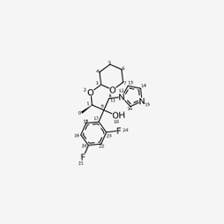 C[C@@H](OC1CCCCO1)C(O)(Cn1ccnc1)c1ccc(F)cc1F